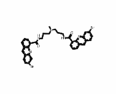 CN(CCCNC(=O)c1cccc2cc3ccc(Br)cc3nc12)CCCNC(=O)c1cccc2cc3ccc(Br)cc3nc12